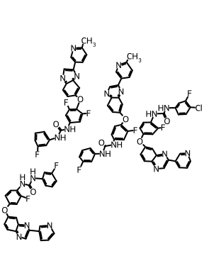 Cc1ccc(-c2cnc3ccc(Oc4c(F)cc(NC(=O)Nc5cccc(F)c5)cc4F)cc3n2)cn1.Cc1ccc(-c2cnc3ccc(Oc4ccc(NC(=O)Nc5cccc(F)c5)cc4F)cc3n2)cn1.O=C(Nc1ccc(Cl)c(F)c1)Nc1ccc(Oc2ccc3ncc(-c4cccnc4)nc3c2)cc1F.O=C(Nc1cccc(F)c1)Nc1ccc(Oc2ccc3ncc(-c4cccnc4)nc3c2)cc1F